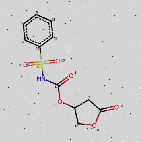 O=C1CC(OC(=O)NS(=O)(=O)c2ccccc2)CO1